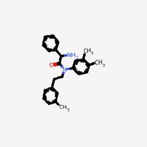 Cc1cccc(CCN(C(=O)C(N)c2ccccc2)c2ccc(C)c(C)c2)c1